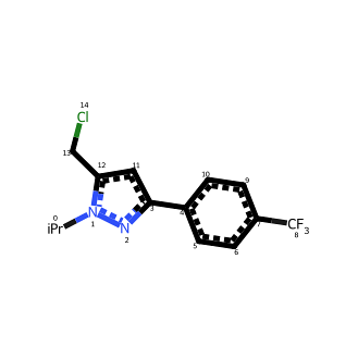 CC(C)n1nc(-c2ccc(C(F)(F)F)cc2)cc1CCl